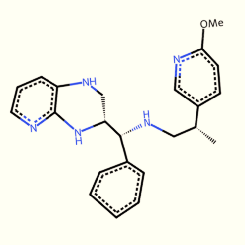 COc1ccc([C@H](C)CN[C@H](c2ccccc2)[C@H]2CNc3cccnc3N2)cn1